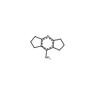 Nc1c2c(nc3c1CCC3)CCC2